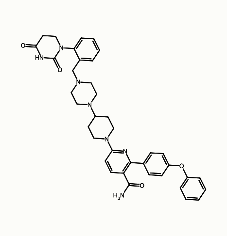 NC(=O)c1ccc(N2CCC(N3CCN(Cc4ccccc4N4CCC(=O)NC4=O)CC3)CC2)nc1-c1ccc(Oc2ccccc2)cc1